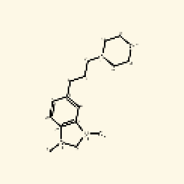 CN1C[S+]([O-])c2cc(CCCN3CCOCC3)ccc21